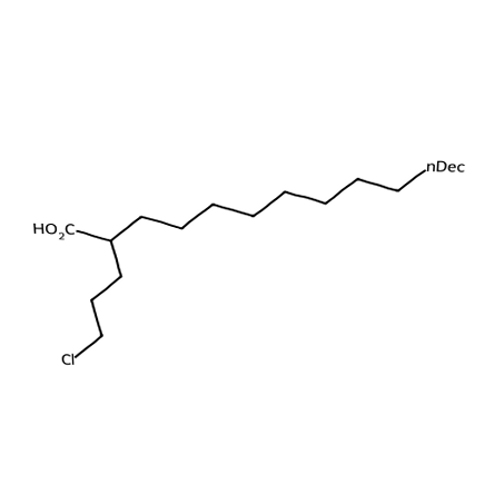 CCCCCCCCCCCCCCCCCCC(CCCCl)C(=O)O